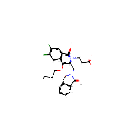 CCCCOc1c(CN2C(=O)c3ccccc3C2=O)n(CCC(=O)O)c(=O)c2cc(Cl)c(Cl)cc12